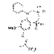 CCCC1(CC)CN(c2ccccc2)c2cc(SC)c(O/C=C(\F)C(=O)O)cc2S(=O)(=O)C1